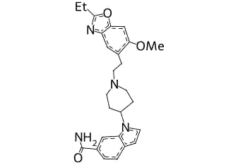 CCc1nc2cc(CCN3CCC(n4ccc5ccc(C(N)=O)cc54)CC3)c(OC)cc2o1